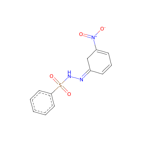 O=[N+]([O-])C1=CC=CC(=NNS(=O)(=O)c2ccccc2)C1